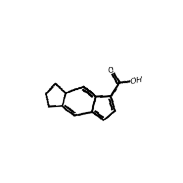 O=C(O)C1=CC=C2C=C3CCCC3C=C21